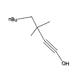 CCCCCC(C)(C)C#CO